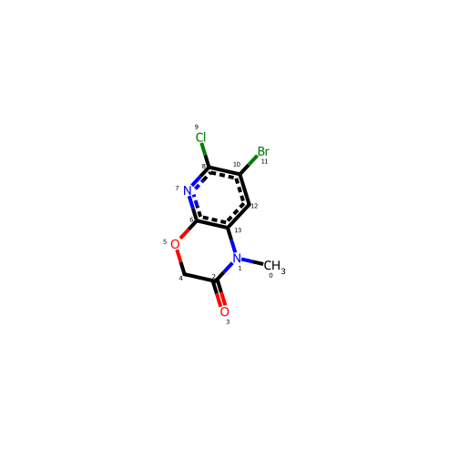 CN1C(=O)COc2nc(Cl)c(Br)cc21